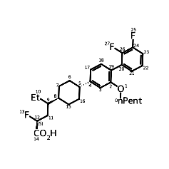 CCCCCOc1cc([C@H]2CC[C@H](C(CC)C[C@H](F)C(=O)O)CC2)ccc1-c1cccc(F)c1F